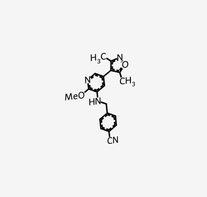 COc1ncc(-c2c(C)noc2C)cc1NCc1ccc(C#N)cc1